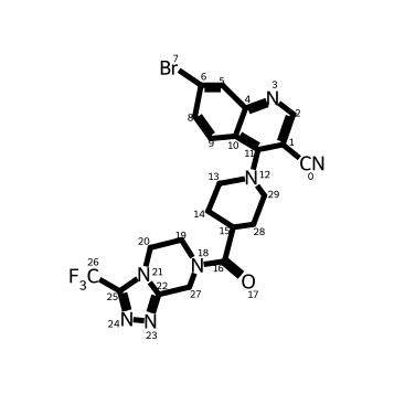 N#Cc1cnc2cc(Br)ccc2c1N1CCC(C(=O)N2CCn3c(nnc3C(F)(F)F)C2)CC1